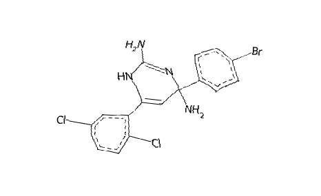 NC1=NC(N)(c2ccc(Br)cc2)C=C(c2cc(Cl)ccc2Cl)N1